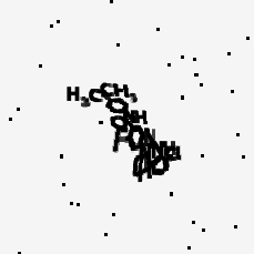 CC(C)[C@H]1CC[C@H](NC(=O)c2cc3nc(Nc4c(Cl)cccc4Cl)[nH]c3cc2F)CC1